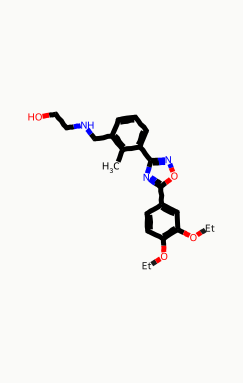 CCOc1ccc(-c2nc(-c3cccc(CNCCO)c3C)no2)cc1OCC